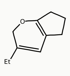 CCC1=CC2=C(CCC2)OC1